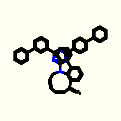 C=C1/C=C\C=C/CN(c2nc(-c3ccc(-c4ccccc4)cc3)nc(-c3cccc(-c4ccccc4)c3)n2)c2c1cccc2-c1ccccc1